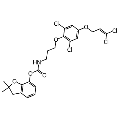 CC1(C)Cc2cccc(OC(=O)NCCCOc3c(Cl)cc(OCC=C(Cl)Cl)cc3Cl)c2O1